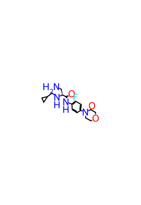 NC[C@H](NCC1CC1)C(=O)Nc1ccc(N2CCOCC2=O)cc1F